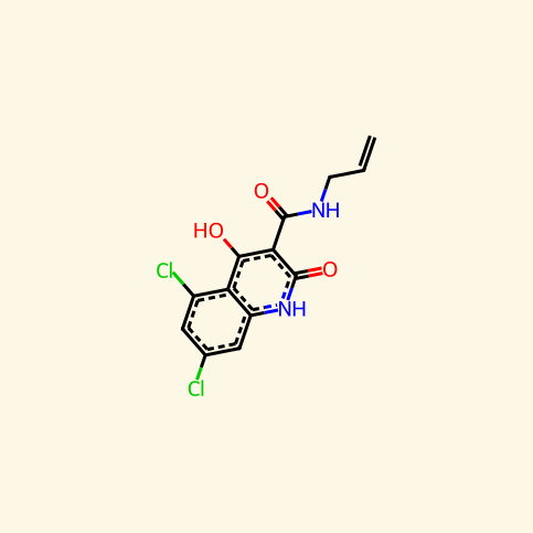 C=CCNC(=O)c1c(O)c2c(Cl)cc(Cl)cc2[nH]c1=O